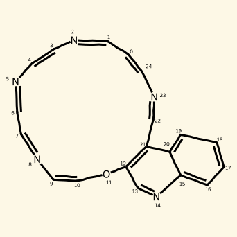 c1cnccnccnccoc2cnc3ccccc3c2cnc1